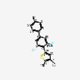 Cc1ccc(-c2cc(F)c(-c3cc(C)c(C)s3)c(F)c2)cc1